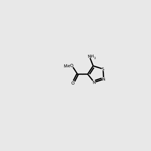 COC(=O)c1nnsc1N